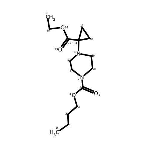 CCCCOC(=O)N1CCN(C2(C(=O)OCC)CC2)CC1